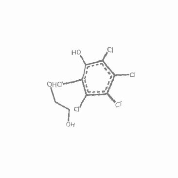 OCCO.Oc1c(Cl)c(Cl)c(Cl)c(Cl)c1Cl